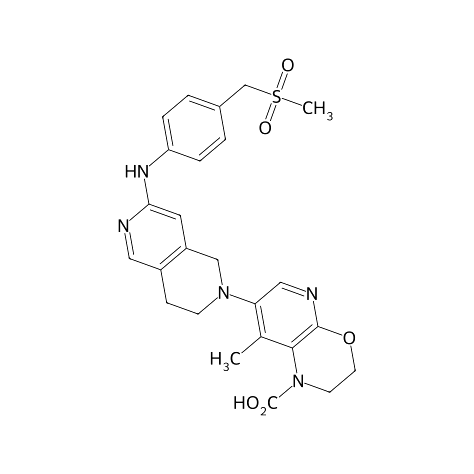 Cc1c(N2CCc3cnc(Nc4ccc(CS(C)(=O)=O)cc4)cc3C2)cnc2c1N(C(=O)O)CCO2